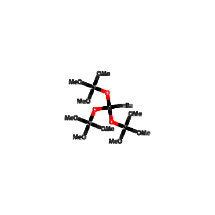 CCCC[Si](O[Si](OC)(OC)OC)(O[Si](OC)(OC)OC)O[Si](OC)(OC)OC